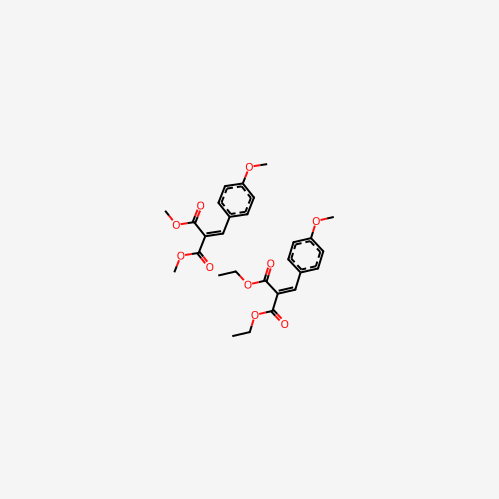 CCOC(=O)C(=Cc1ccc(OC)cc1)C(=O)OCC.COC(=O)C(=Cc1ccc(OC)cc1)C(=O)OC